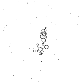 Cc1c(O)c(O)c(C=O)c(CO[C@H]2CC[C@@]3(C)C(=CC[C@@H]4[C@@H]3CC[C@]3(C)C(=O)CC[C@@H]43)C2)c1-c1ccccc1